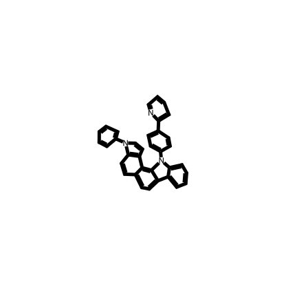 c1ccc(-n2ccc3c4c(ccc5c6ccccc6n(-c6ccc(-c7ccccn7)cc6)c54)ccc32)cc1